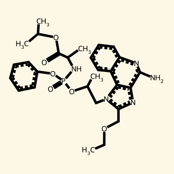 CCOCc1nc2c(N)nc3ccccc3c2n1CC(C)OP(=O)(NC(C)C(=O)OC(C)C)Oc1ccccc1